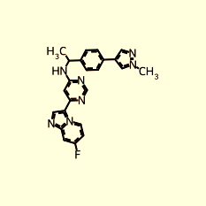 CC(Nc1cc(-c2cnc3cc(F)ccn23)ncn1)c1ccc(-c2cnn(C)c2)cc1